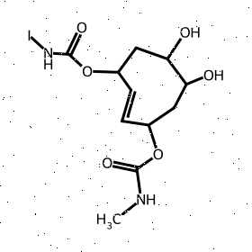 CNC(=O)OC1/C=C/C(OC(=O)NI)CC(O)C(O)C1